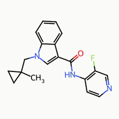 CC1(Cn2cc(C(=O)Nc3ccncc3F)c3ccccc32)CC1